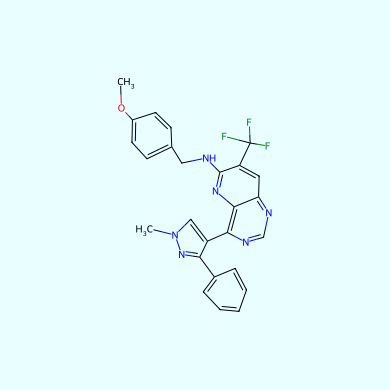 COc1ccc(CNc2nc3c(-c4cn(C)nc4-c4ccccc4)ncnc3cc2C(F)(F)F)cc1